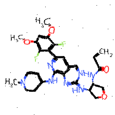 C=CC(=O)N[C@H]1COC[C@H]1Nc1ncc2cc(-c3c(F)c(OC)cc(OC)c3F)nc(NC3CCN(C)CC3)c2n1